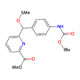 COC(=O)c1cccc(C(OSC)c2ccc(NC(=O)OC(C)(C)C)cc2)n1